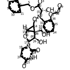 C[C@@H](C(=O)OCc1ccccc1)N(OC1[C@H]2O[C@@H](n3ccc(=O)[nH]c3=O)[C@H](O)[C@@]12CO)c1ccccc1OP=O